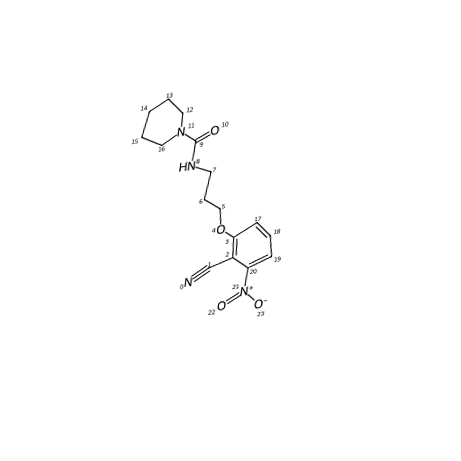 N#Cc1c(OCCCNC(=O)N2CCCCC2)cccc1[N+](=O)[O-]